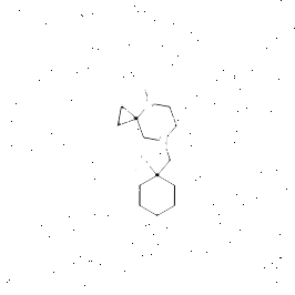 CN1CCN(CC2(N)CCCCC2)CC12CC2